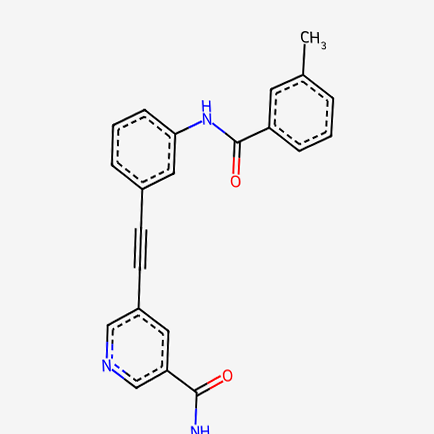 Cc1cccc(C(=O)Nc2cccc(C#Cc3cncc(C(N)=O)c3)c2)c1